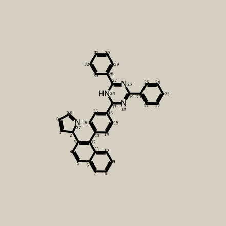 C1=CC(c2ccc3ccccc3c2-c2ccc(C3N=C(c4ccccc4)N=C(c4ccccc4)N3)cc2)N=C1